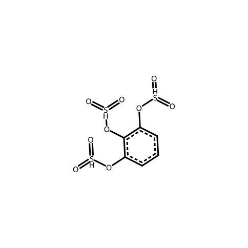 O=[SH](=O)Oc1cccc(O[SH](=O)=O)c1O[SH](=O)=O